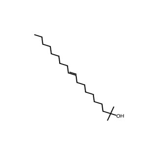 CCCCCCCCC=CCCCCCCCC(C)(C)O